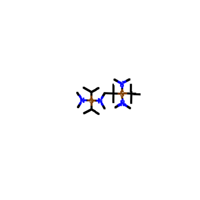 CC(C)S(C(C)C)(N(C)C)N(C)CC(C)(C)S(N(C)C)(N(C)C)C(C)(C)C